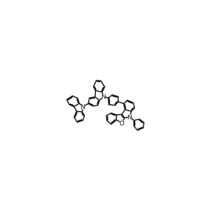 c1ccc(-n2c3cccc(-c4ccc(-n5c6ccccc6c6cc(-n7c8ccccc8c8ccccc87)ccc65)cc4)c3c3c4ccccc4oc32)cc1